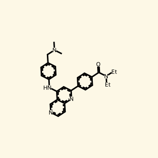 CCN(CC)C(=O)c1ccc(-c2cc(Nc3ccc(CN(C)C)cc3)c3cnccc3n2)cc1